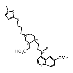 COc1ccc2nccc([C@H](F)CC[C@@H]3CCN(CCCSc4ccc(C)s4)C[C@@H]3CC(=O)O)c2c1